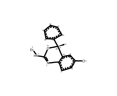 CCNC1=Nc2ccc(Cl)cc2[C@@](C)(c2ccccc2)O1